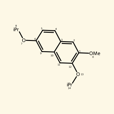 COc1cc2ccc(OC(C)C)cc2cc1OC(C)C